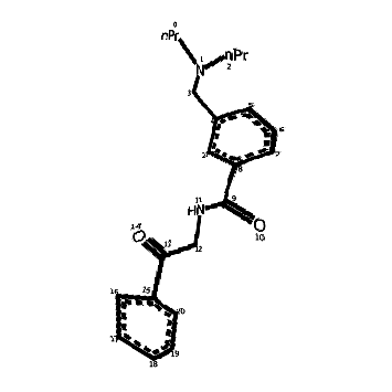 CCCN(CCC)Cc1cccc(C(=O)NCC(=O)c2ccccc2)c1